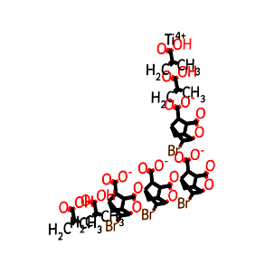 C=C(C)C(=O)O.C=C(C)C(=O)O.C=C(C)C(=O)O.C=C(C)C(=O)O.O=C([O-])C1C2CC3C(OC(=O)C31)C2Br.O=C([O-])C1C2CC3C(OC(=O)C31)C2Br.O=C([O-])C1C2CC3C(OC(=O)C31)C2Br.O=C([O-])C1C2CC3C(OC(=O)C31)C2Br.[Ti+4]